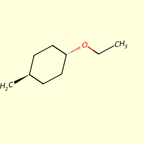 [CH2][C@H]1CC[C@H](OCC)CC1